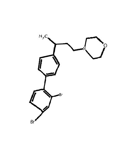 CC(CCN1CCOCC1)c1ccc(-c2ccc(Br)cc2Br)cc1